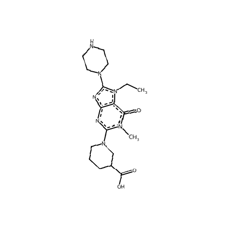 CCn1c(N2CCNCC2)nc2nc(N3CCCC(C(=O)O)C3)n(C)c(=O)c21